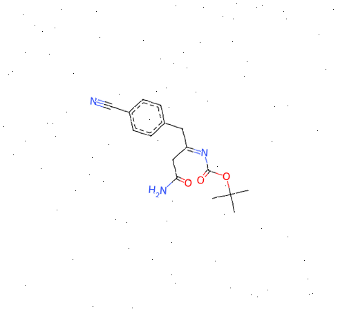 CC(C)(C)OC(=O)/N=C(\CC(N)=O)Cc1ccc(C#N)cc1